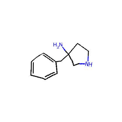 NC1(c2ccccc2)CCNC1